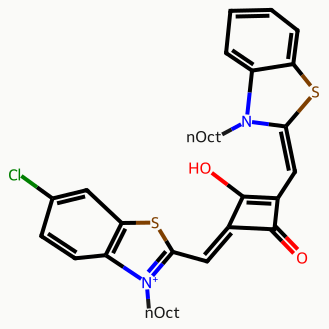 CCCCCCCCN1/C(=C\C2=C(O)C(=C\c3sc4cc(Cl)ccc4[n+]3CCCCCCCC)/C2=O)Sc2ccccc21